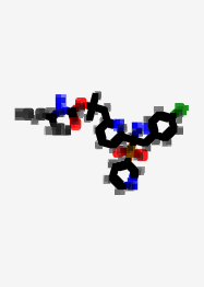 CC(C)(Cc1cccc(C(N)(Cc2ccc(Br)cc2)S(=O)(=O)c2cccnc2)n1)OC(=O)NC(C(=O)O)C(C)(C)C